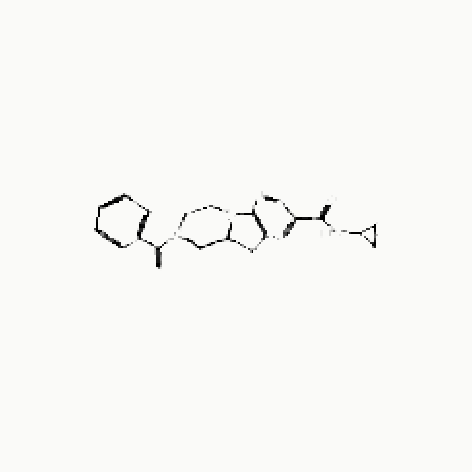 O=C(NC1CC1)c1cnc2c(c1)CC1CN(C(=O)c3ccccc3)CCN21